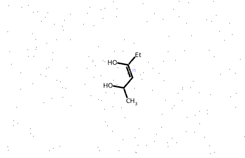 CC/C(O)=C/C(C)O